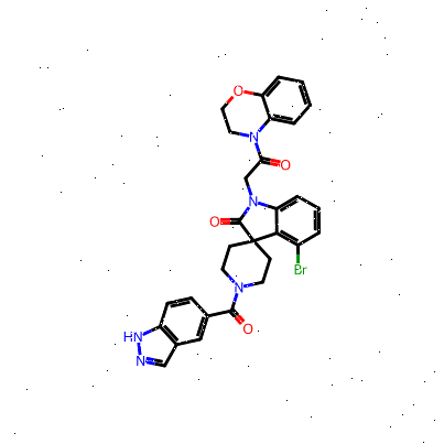 O=C(c1ccc2[nH]ncc2c1)N1CCC2(CC1)C(=O)N(CC(=O)N1CCOc3ccccc31)c1cccc(Br)c12